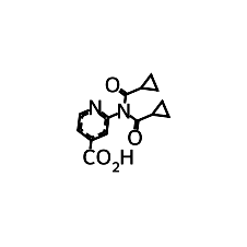 O=C(O)c1ccnc(N(C(=O)C2CC2)C(=O)C2CC2)c1